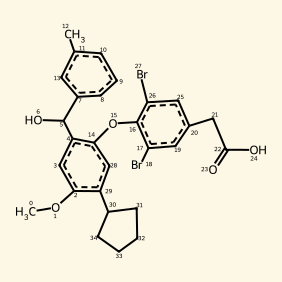 COc1cc(C(O)c2cccc(C)c2)c(Oc2c(Br)cc(CC(=O)O)cc2Br)cc1C1CCCC1